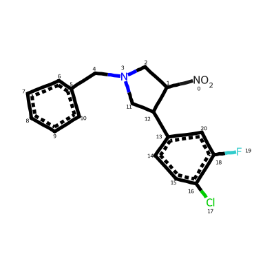 O=[N+]([O-])C1CN(Cc2ccccc2)CC1c1ccc(Cl)c(F)c1